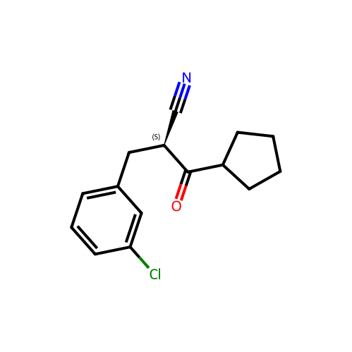 N#C[C@H](Cc1cccc(Cl)c1)C(=O)C1CCCC1